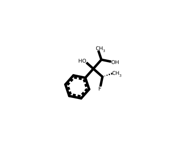 CC(O)C(O)(c1ccccc1)[C@H](C)F